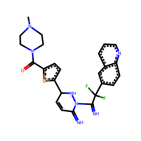 CN1CCN(C(=O)c2ccc(C3C=CC(=N)N(C(=N)C(F)(F)c4ccc5ncccc5c4)N3)s2)CC1